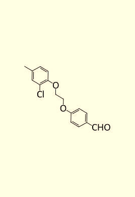 Cc1ccc(OCCOc2ccc(C=O)cc2)c(Cl)c1